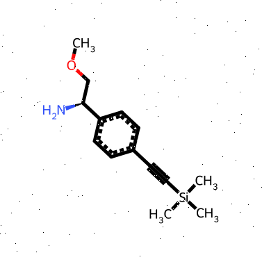 COC[C@H](N)c1ccc(C#C[Si](C)(C)C)cc1